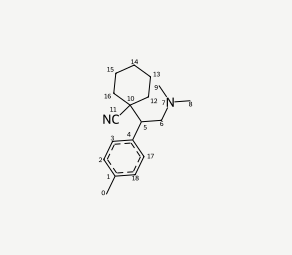 Cc1ccc(C(CN(C)C)C2(C#N)CCCCC2)cc1